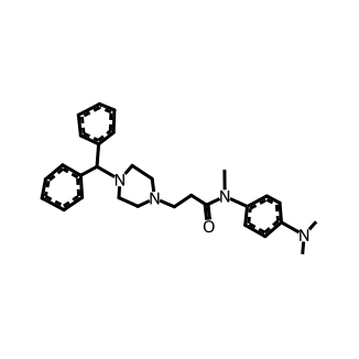 CN(C)c1ccc(N(C)C(=O)CCN2CCN(C(c3ccccc3)c3ccccc3)CC2)cc1